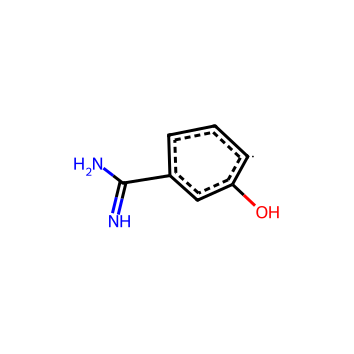 N=C(N)c1cc[c]c(O)c1